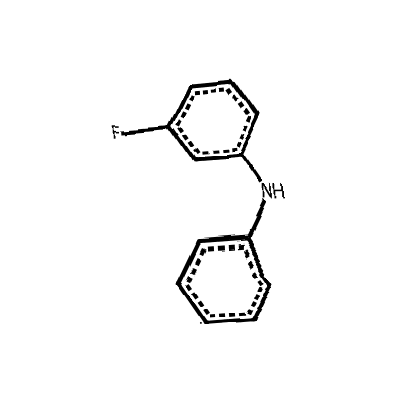 Fc1cccc(Nc2cc[c]cc2)c1